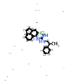 CC(CNC(=N)Nc1ccc2c3c(cccc13)C=C2)c1ccccc1.Cl